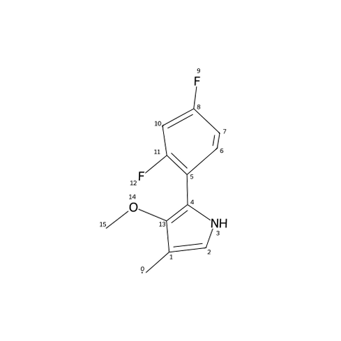 [CH2]c1c[nH]c(-c2ccc(F)cc2F)c1OC